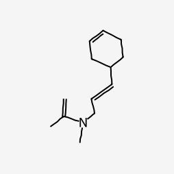 C=C(C)N(C)C/C=C/C1CC=CCC1